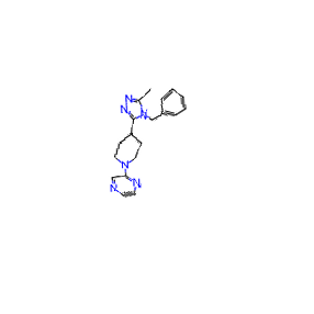 Cc1nnc(C2CCN(c3cnccn3)CC2)n1Cc1ccccc1